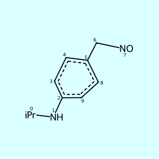 CC(C)Nc1ccc(CN=O)cc1